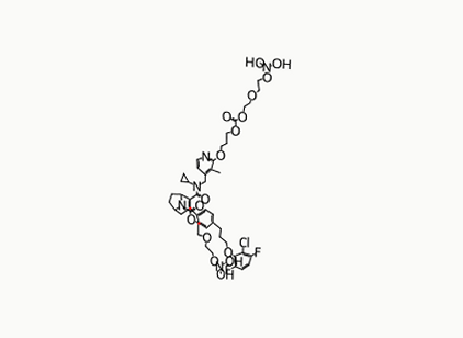 Cc1c(CN(C(=O)C2=C(c3ccc(CCCOc4c(F)ccc(F)c4Cl)cc3)CC3CCC2N3C(=O)OCCOCCON(O)O)C2CC2)ccnc1OCCCOC(=O)OCCOCCON(O)O